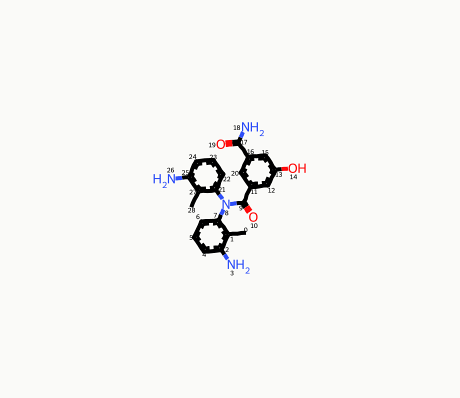 Cc1c(N)cccc1N(C(=O)c1cc(O)cc(C(N)=O)c1)c1cccc(N)c1C